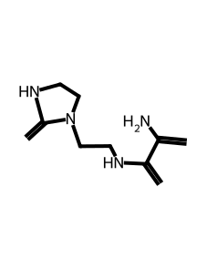 C=C(N)C(=C)NCCN1CCNC1=C